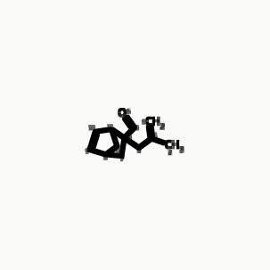 C=C(C)CC1(C=O)CC2C=CC1C2